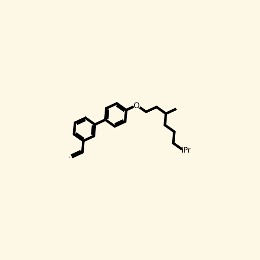 [CH]=Cc1cc[c]c(-c2ccc(OCCC(C)CCCC(C)C)cc2)c1